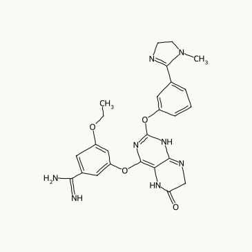 CCOc1cc(OC2=C3NC(=O)CN=C3NC(Oc3cccc(C4=NCCN4C)c3)=N2)cc(C(=N)N)c1